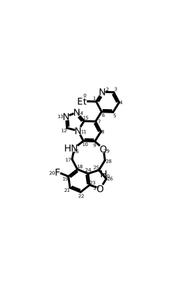 CCc1ncccc1-c1cc2c(n3cnnc13)NCc1c(F)ccc3c1[C@H](CO3)CO2